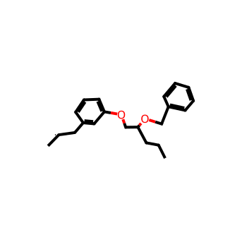 C[CH]Cc1cccc(OCC(CCC)OCc2ccccc2)c1